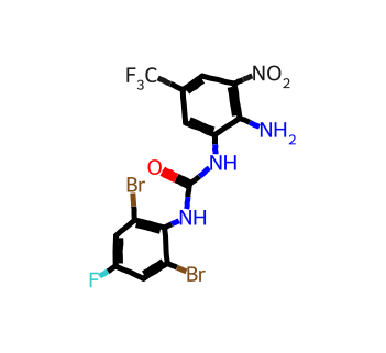 Nc1c(NC(=O)Nc2c(Br)cc(F)cc2Br)cc(C(F)(F)F)cc1[N+](=O)[O-]